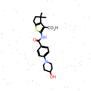 CC1(C)CCc2sc(NC(=O)c3ccc(N4CCC(O)CC4)cc3)c(C(=O)O)c21